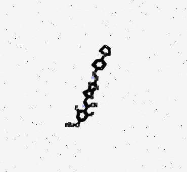 CCCCOc1cc(F)c(/C(C#N)=C/c2cc3sc(/N=N/c4ccc(N5CCCC5)cc4)nc3s2)c(F)c1